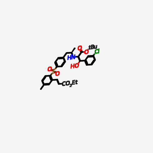 CCOC(=O)CCc1cc(C)ccc1S(=O)(=O)c1ccc(C[C@@H](C)NC(C(=O)OC(C)(C)C)[C@H](O)c2cccc(Cl)c2)cc1